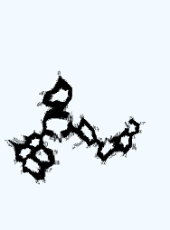 c1ccc(-c2cc(-c3ccc4ccc5cccc6ccc3c4c56)nc(-c3ccc(-c4ccc5ccc6cccnc6c5n4)cc3)n2)cc1